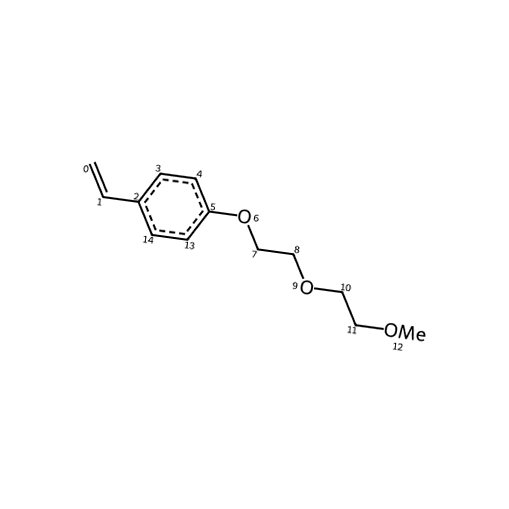 C=Cc1ccc(OCCOCCOC)cc1